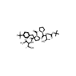 C[C@@H](O)C(NC(=O)C1(Cc2ccc(C(F)(F)F)cc2)CCCN1C(=O)[C@@H]1CCCN1C(=O)C(NC(=O)OC(C)(C)C)[C@@H](C)O)C(N)=O